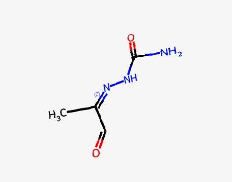 C/C(C=O)=N/NC(N)=O